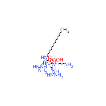 CCCCCCCCCCCCCCCC(=O)N[C@@H](CCCNC(=N)N)C(=O)N[C@@H](CCCNC(=N)N)C(=O)N[C@@H](CCCCN)C(=O)O